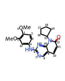 COc1ccc(Nc2ncc3ccc(=O)n(C4CCCC4)c3n2)cc1OC